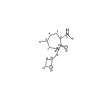 CNC1CCC(C)CN(CC2CCO2)C1=O